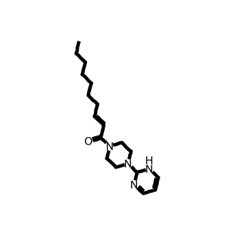 CCCCCCC/C=C/C(=O)N1CCN(C2N=CC=CN2)CC1